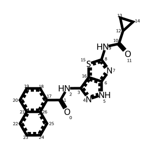 O=C(Nc1n[nH]c2nc(NC(=O)C3CC3)sc12)c1cccc2ccccc12